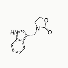 O=C1OCCN1Cc1c[nH]c2ccccc12